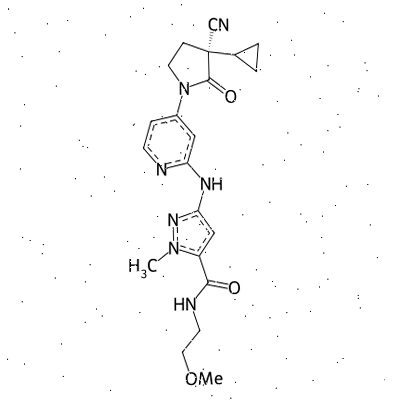 COCCNC(=O)c1cc(Nc2cc(N3CC[C@@](C#N)(C4CC4)C3=O)ccn2)nn1C